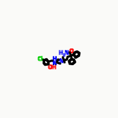 CC(C)(CCC(C(N)=O)(c1ccccc1)c1ccccc1)N1CC(NCc2cc(Cl)ccc2O)C1